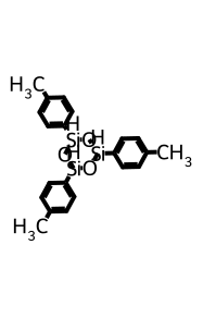 Cc1ccc([SiH]2O[SiH](c3ccc(C)cc3)O[SiH](c3ccc(C)cc3)O2)cc1